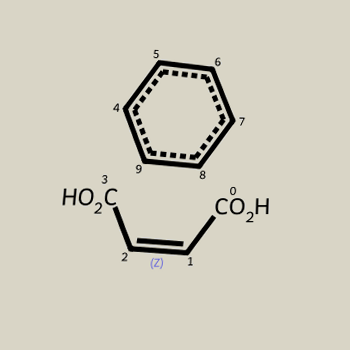 O=C(O)/C=C\C(=O)O.c1ccccc1